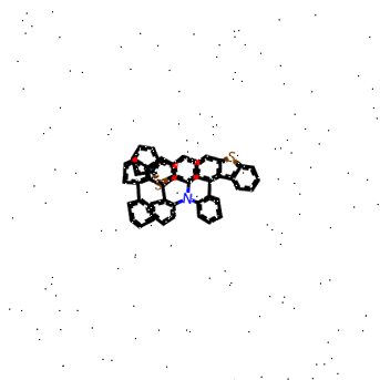 c1ccc(-c2cccc3cccc(-c4ccccc4N(c4ccccc4-c4cccc5sc6ccccc6c45)c4cccc5c4sc4ccccc45)c23)cc1